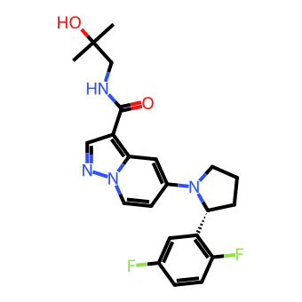 CC(C)(O)CNC(=O)c1cnn2ccc(N3CCC[C@@H]3c3cc(F)ccc3F)cc12